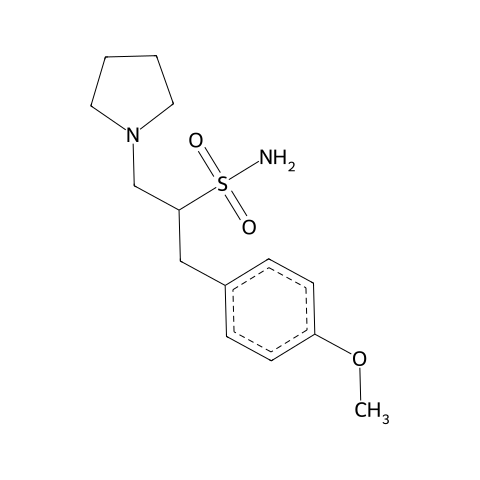 COc1ccc(CC(CN2CCCC2)S(N)(=O)=O)cc1